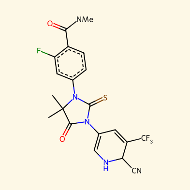 CNC(=O)c1ccc(N2C(=S)N(C3=CNC(C#N)C(C(F)(F)F)=C3)C(=O)C2(C)C)cc1F